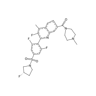 Cc1c(F)c(-c2c(F)cc(S(=O)(=O)N3CC[C@H](F)C3)cc2F)nc2cc(C(=O)N3CCN(C)CC3)ccc12